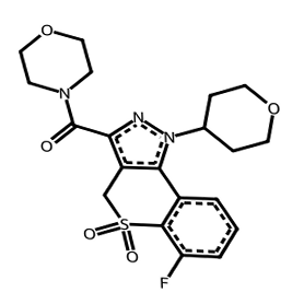 O=C(c1nn(C2CCOCC2)c2c1CS(=O)(=O)c1c(F)cccc1-2)N1CCOCC1